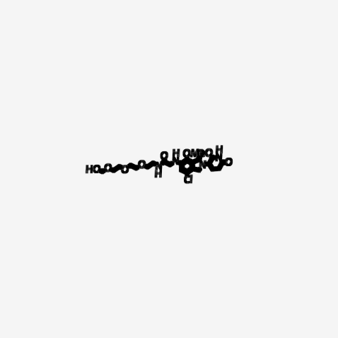 COc1c(NCC(=O)NCCOCCOCCOCO)cc(Cl)c2c1C(=O)N(C1CCC(=O)NC1=O)C2